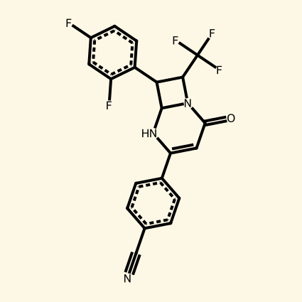 N#Cc1ccc(C2=CC(=O)N3C(N2)C(c2ccc(F)cc2F)C3C(F)(F)F)cc1